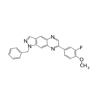 COc1ccc(-c2cnc3cc4cnn(Cc5ccccc5)c4cc3n2)cc1F